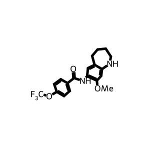 COc1cc2c(cc1NC(=O)c1ccc(OC(F)(F)F)cc1)CCCCN2